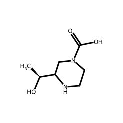 C[C@H](O)C1CN(C(=O)O)CCN1